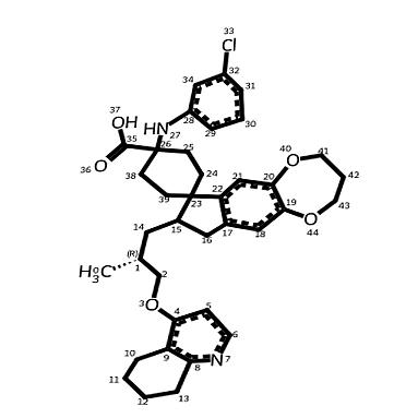 C[C@@H](COc1ccnc2c1CCCC2)CC1Cc2cc3c(cc2C12CCC(Nc1cccc(Cl)c1)(C(=O)O)CC2)OCCCO3